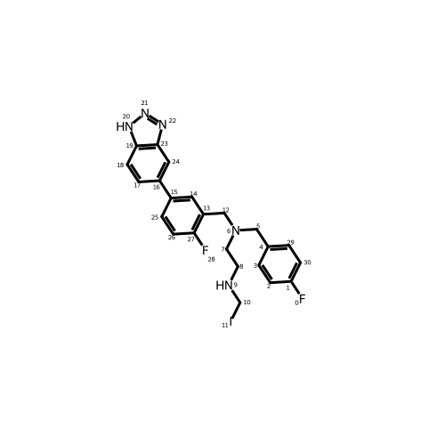 Fc1ccc(CN(CCNCI)Cc2cc(-c3ccc4[nH]nnc4c3)ccc2F)cc1